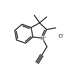 C#CC[N+]1=C(C)C(C)(C)c2ccccc21.[Cl-]